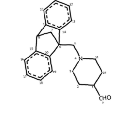 O=CC1CCN(CC23CC(c4ccccc42)c2ccccc23)CC1